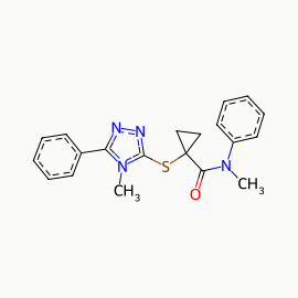 CN(C(=O)C1(Sc2nnc(-c3ccccc3)n2C)CC1)c1ccccc1